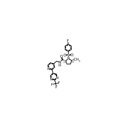 C[C@H]1CC[C@@H](C(=O)NCc2ccnc(-c3cnc(C(F)(F)F)nc3)c2)N1S(=O)(=O)c1ccc(F)cc1